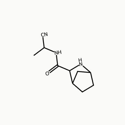 CC(C#N)NC(=O)C1NC2CCC1C2